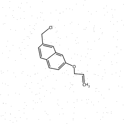 C=CCOc1ccc2ccc(CCl)cc2c1